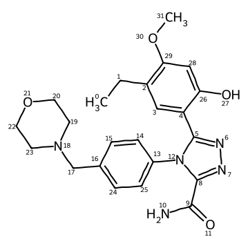 CCc1cc(-c2nnc(C(N)=O)n2-c2ccc(CN3CCOCC3)cc2)c(O)cc1OC